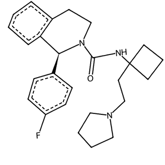 O=C(NC1(CCN2CCCC2)CCC1)N1CCc2ccccc2[C@@H]1c1ccc(F)cc1